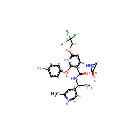 Cc1cc(C(C)NC(=O)c2ccc(OCC(F)(F)F)nc2Oc2ccc(F)cc2)ccn1.O=C1CN1